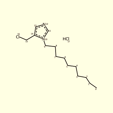 CCCCCCCCCCn1cncc1CCl.Cl